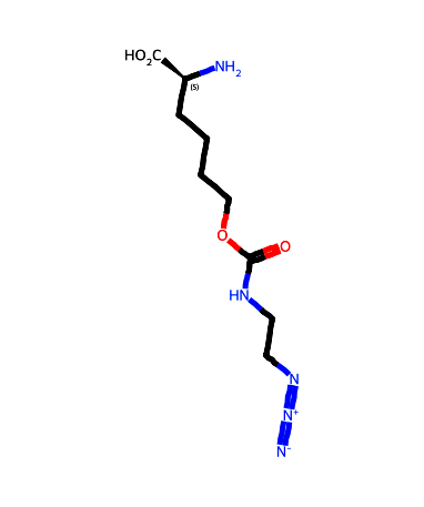 [N-]=[N+]=NCCNC(=O)OCCCC[C@H](N)C(=O)O